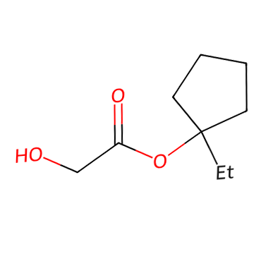 CCC1(OC(=O)CO)CCCC1